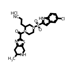 CC1Cc2nc(C(=O)N3CCN(S(=O)(=O)c4cc5cc(Cl)ccc5[nH]4)CC3CCC#N)sc2CN1.Cl